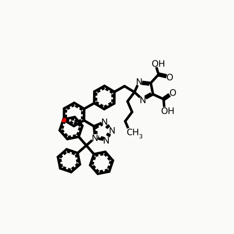 CCCCC1(Cc2ccc(-c3ccccc3-c3nnnn3C(c3ccccc3)(c3ccccc3)c3ccccc3)cc2)N=C(C(=O)O)C(C(=O)O)=N1